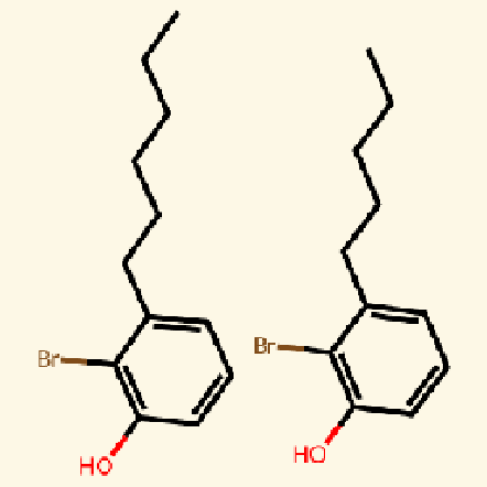 CCCCCCc1cccc(O)c1Br.CCCCCc1cccc(O)c1Br